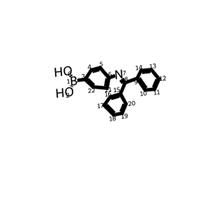 OB(O)c1ccc(N=C(c2ccccc2)c2ccccc2)cc1